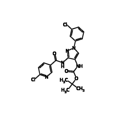 CC(C)(C)OC(=O)Nc1cn(-c2cccc(Cl)c2)nc1NC(=O)c1ccc(Cl)nc1